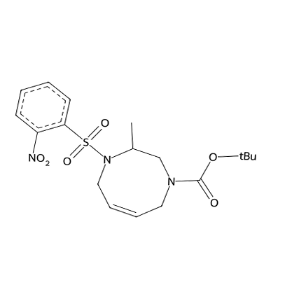 CC1CN(C(=O)OC(C)(C)C)CC=CCN1S(=O)(=O)c1ccccc1[N+](=O)[O-]